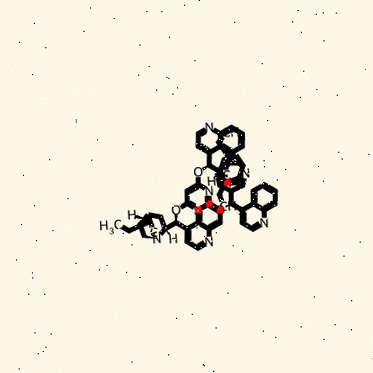 CCC1CC[N@@]2CCC1C[C@@H]2[C@@H](Oc1cc(O[C@@H](c2ccnc3ccccc23)[C@@H]2CC3CC[N@@]2C[C@@H]3CC)nc(O[C@@H](c2ccnc3ccccc23)C2CC3CC[N@](CC3CC)C2)n1)c1ccnc2ccccc12